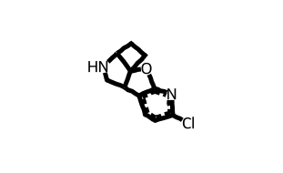 Clc1ccc2c(n1)OC13CCC1NCC23